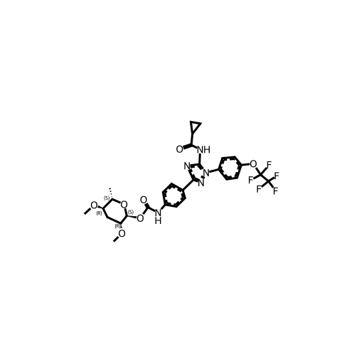 CO[C@@H]1C[C@@H](OC)[C@H](C)O[C@H]1OC(=O)Nc1ccc(-c2nc(NC(=O)C3CC3)n(-c3ccc(OC(F)(F)C(F)(F)F)cc3)n2)cc1